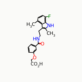 Cc1[nH]c2c(F)ccc(C)c2c1CCNC(=O)c1cccc(OCC(=O)O)c1